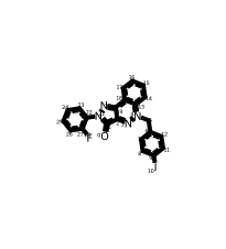 O=c1c2nn(Cc3ccc(I)cc3)c3ccccc3c-2nn1-c1ccccc1F